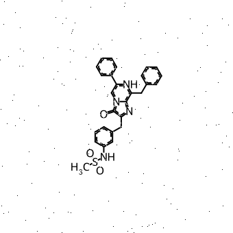 CS(=O)(=O)Nc1cccc(Cc2nc3c(Cc4ccccc4)[nH]c(-c4ccccc4)cn-3c2=O)c1